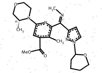 C/N=C(/c1ccn(C2CCCCO2)n1)c1nc(N2CCOC[C@H]2C)cc(C(=O)OC)c1C